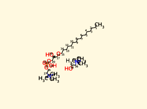 CCCCCCCCCCCCCCCCOC[C@@H](O)COP(=O)(O)OCC[N+](C)(C)C.C[N+](C)(C)CCO